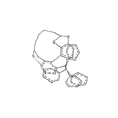 c1ccc(P(c2ccccc2)c2ccc3c4c2-c2c(P(c5ccccc5)c5ccccc5)ccc5c2OC(CCCCC(O3)O4)O5)cc1